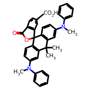 CN(c1ccccc1)c1ccc2c(c1)C(C)(C)c1cc(N(C)c3ccccc3)ccc1C21OC(=O)c2ccc(C(=O)O)cc21